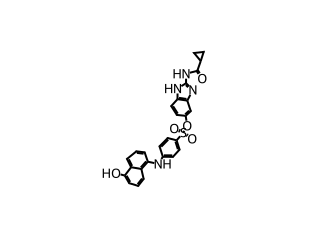 O=C(Nc1nc2cc(OS(=O)(=O)c3ccc(Nc4cccc5c(O)cccc45)cc3)ccc2[nH]1)C1CC1